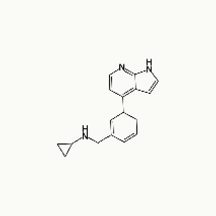 C1=CC(CNC2CC2)=CC(c2ccnc3[nH]ccc23)C1